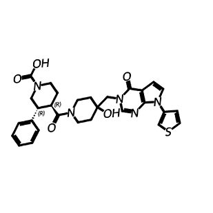 O=C(O)N1CC[C@@H](C(=O)N2CCC(O)(Cn3cnc4c(ccn4-c4ccsc4)c3=O)CC2)[C@H](c2ccccc2)C1